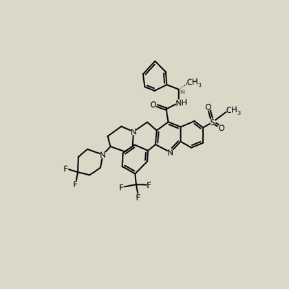 C[C@H](NC(=O)c1c(CN2CCC(N3CCC(F)(F)CC3)CC2)c(-c2cccc(C(F)(F)F)c2)nc2ccc(S(C)(=O)=O)cc12)c1ccccc1